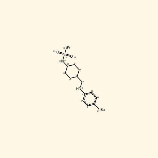 CCCCc1ccc(NCC2CCC(NS(=O)(=O)C(C)C)CC2)cc1